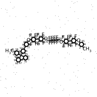 Cc1ccc(Oc2c(F)c(F)c(-c3c(F)c(F)c(OCC(F)(F)C(F)(F)C(F)(F)C(F)(F)COc4c(F)c(F)c(-c5c(F)c(F)c(Oc6ccc(-c7ccc(C8(c9ccc(C)cc9)c9ccccc9-c9ccccc98)cc7)cc6)c(F)c5F)c(F)c4F)c(F)c3F)c(F)c2F)cc1